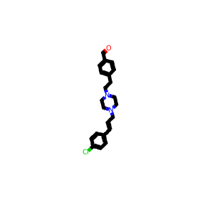 O=Cc1ccc(CCN2CCN(CC=Cc3ccc(Cl)cc3)CC2)cc1